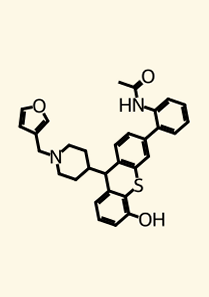 CC(=O)Nc1ccccc1-c1ccc2c(c1)Sc1c(O)cccc1C2C1CCN(Cc2ccoc2)CC1